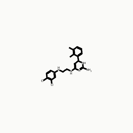 Cc1cccc(C2C=C(NCCNc3ccc(Cl)c(Cl)c3)N=C(N)N2)c1C